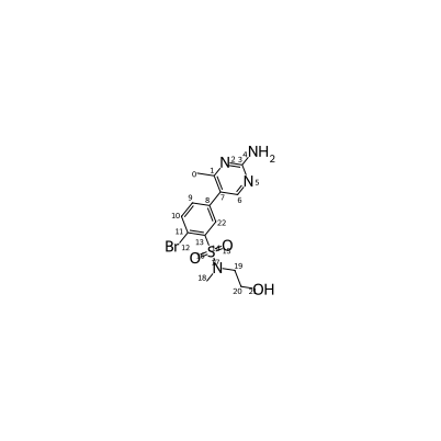 Cc1nc(N)ncc1-c1ccc(Br)c(S(=O)(=O)N(C)CCO)c1